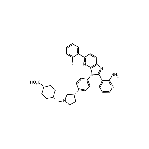 Nc1ncccc1-c1nc2ccc(-c3ccccc3F)nc2n1-c1ccc([C@@H]2CCN(C[C@H]3CC[C@H](C(=O)O)CC3)C2)cc1